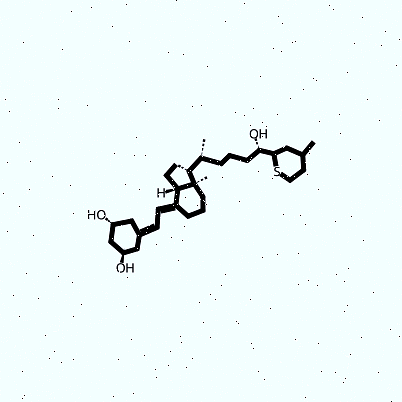 CC1CCSC([C@@H](O)CCC[C@@H](C)[C@H]2CC[C@H]3/C(=C/C=C4C[C@@H](O)C[C@H](O)C4)CCC[C@]23C)C1